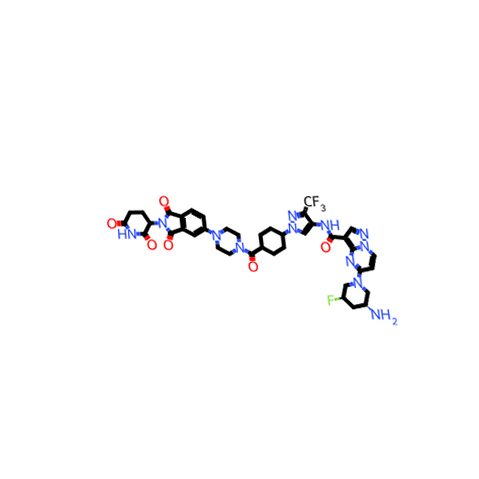 N[C@@H]1C[C@@H](F)CN(c2ccn3ncc(C(=O)Nc4cn(C5CCC(C(=O)N6CCN(c7ccc8c(c7)C(=O)N(C7CCC(=O)NC7=O)C8=O)CC6)CC5)nc4C(F)(F)F)c3n2)C1